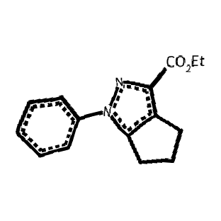 CCOC(=O)c1nn(-c2ccccc2)c2c1CCC2